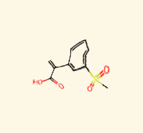 C=C(C(=O)O)c1cccc(S(C)(=O)=O)c1